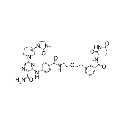 CN1CCN([C@@H]2CCCN(c3cnc(C(N)=O)c(Nc4ccc(C(=O)NCCOCCc5cccc6c5CN(C5CCC(=O)NC5=O)C6=O)cc4)n3)C2)C1=O